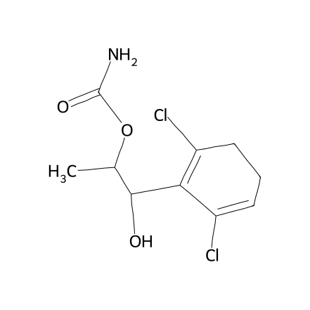 CC(OC(N)=O)C(O)C1=C(Cl)CCC=C1Cl